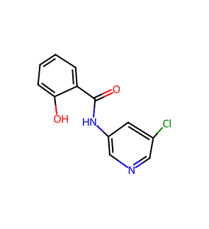 O=C(Nc1cncc(Cl)c1)c1ccccc1O